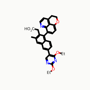 CCOc1ncc(-c2ccc3c(-c4ccc5c6c(ccnc46)CCO5)c(CC(=O)O)c(C)cc3c2)c(OCC)n1